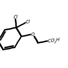 O=C(O)COC1C=CC=CC1(Cl)Cl